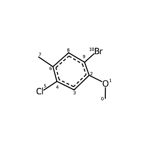 COc1cc(Cl)c(C)cc1Br